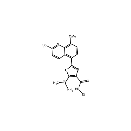 CCNC(=O)c1nc(-c2ccc(OC)c3nc(C(F)(F)F)ccc23)oc1[C@H](C)N